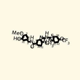 COc1ccc(CNC(=O)c2ccc3c(c2)nc(Nc2nc4ccc(OC(F)(F)F)cc4s2)n3C)cc1O